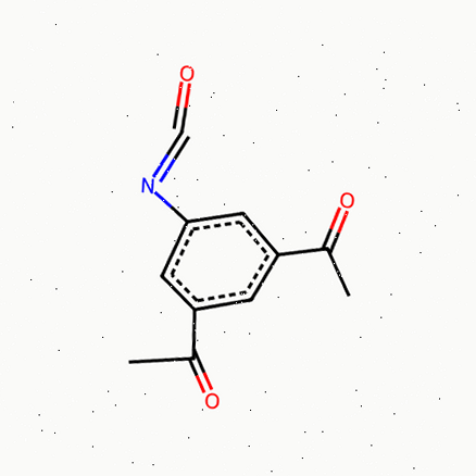 CC(=O)c1cc(N=C=O)cc(C(C)=O)c1